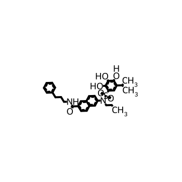 CCCN(c1ccc2cc(C(=O)NCCCc3ccccc3)ccc2c1)S(=O)(=O)c1cc(C(C)C)c(O)c(O)c1O